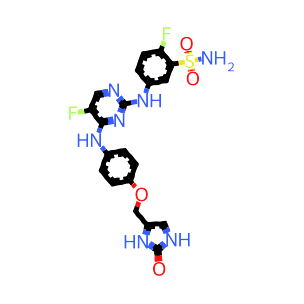 NS(=O)(=O)c1cc(Nc2ncc(F)c(Nc3ccc(OCc4c[nH]c(=O)[nH]4)cc3)n2)ccc1F